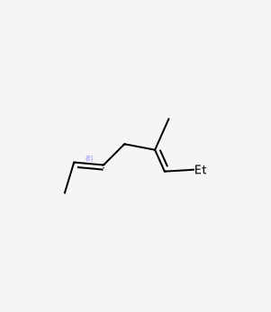 C/C=[C]/CC(C)=CCC